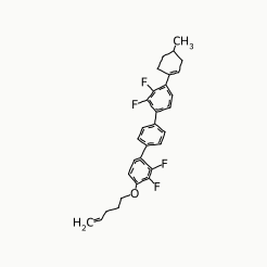 C=CCCCOc1ccc(-c2ccc(-c3ccc(C4=CCC(C)CC4)c(F)c3F)cc2)c(F)c1F